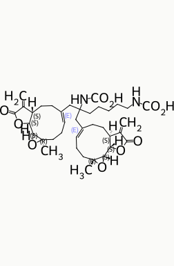 C=C1C(=O)O[C@H]2[C@H]1CC/C(CC(CCCCCNC(=O)O)(C/C1=C/CC[C@@]3(C)O[C@H]3[C@H]3OC(=O)C(=C)[C@@H]3CC1)NC(=O)O)=C\CC[C@@]1(C)O[C@@H]21